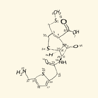 CSCC1=C(C(=O)O)N2C(=O)[C@@H](NC(=O)Cc3ccc(CN)s3)[C@H]2SC1